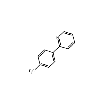 FC(F)(F)c1ccc(-c2ccc[c]n2)cc1